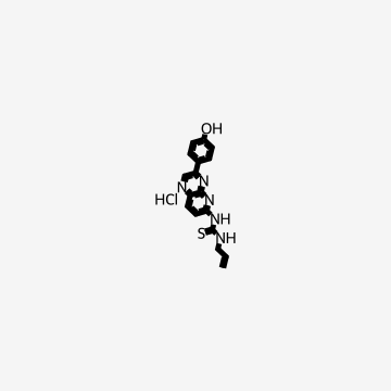 C=CCNC(=S)Nc1ccc2ncc(-c3ccc(O)cc3)nc2n1.Cl